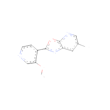 CC(C)Oc1cnccc1-c1nc2cc(C(F)(F)F)cnc2o1